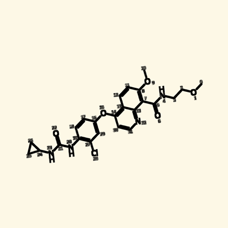 COCCNC(=O)c1c(OC)ccc2c(Oc3ccc(NC(=O)NC4CC4)c(Cl)c3)ccnc12